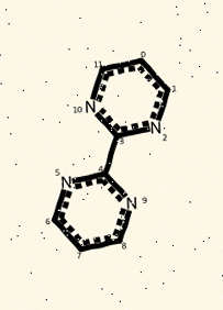 [c]1cnc(-c2ncccn2)nc1